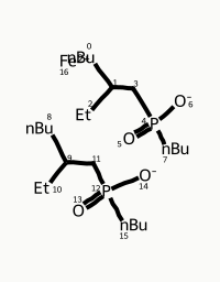 CCCCC(CC)CP(=O)([O-])CCCC.CCCCC(CC)CP(=O)([O-])CCCC.[Fe+2]